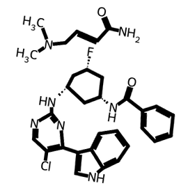 CN(C)C/C=C/C(N)=O.O=C(N[C@H]1C[C@@H](F)C[C@@H](Nc2ncc(Cl)c(-c3c[nH]c4ccccc34)n2)C1)c1ccccc1